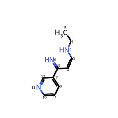 CCN/C=C\C(=N)c1cccnc1